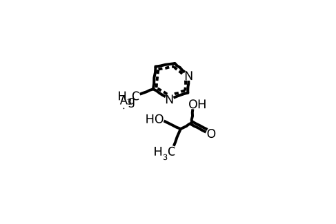 CC(O)C(=O)O.Cc1ccncn1.[Ag]